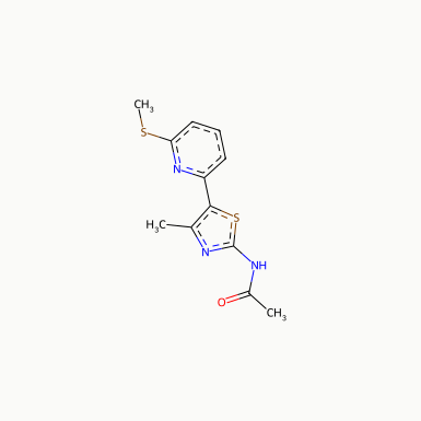 CSc1cccc(-c2sc(NC(C)=O)nc2C)n1